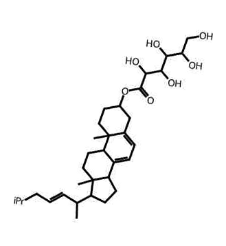 CC(C)C/C=C/C(C)C1CCC2C3=CC=C4CC(OC(=O)C(O)C(O)C(O)C(O)CO)CCC4(C)C3CCC21C